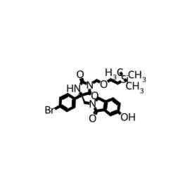 C[Si](C)(C)CCOCN1C(=O)N[C@@](CN2Cc3ccc(O)cc3C2=O)(c2ccc(Br)cc2)C1=O